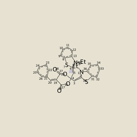 CCN1C(=CC2(/C=C3\Sc4ccccc4N3CC)OC(=O)C(=Cc3ccccc3)C(=O)O2)Sc2ccccc21